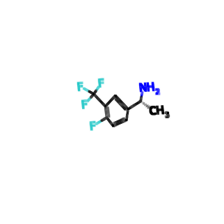 C[C@@H](N)c1ccc(F)c(C(F)(F)F)c1